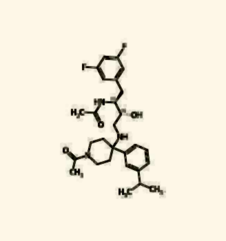 CC(=O)N[C@@H](Cc1cc(F)cc(F)c1)[C@H](O)CNC1(c2cccc(C(C)C)c2)CCN(C(C)=O)CC1